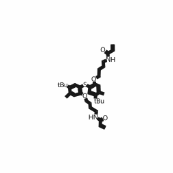 C=CC(=O)NCCCCOc1cc(C)c(C(C)(C)C)cc1Sc1cc(C(C)(C)C)c(C)cc1OCCCCNC(=O)C=C